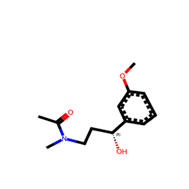 COc1cccc([C@H](O)CCN(C)C(C)=O)c1